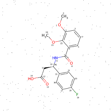 COc1cccc(C(=O)N[C@H](CC(=O)O)c2ccc(F)cc2)c1OC